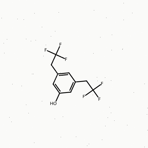 Oc1cc(CC(F)(F)F)cc(CC(F)(F)F)c1